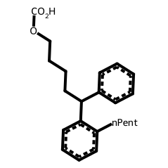 CCCCCc1ccccc1C(CCCCOC(=O)O)c1ccccc1